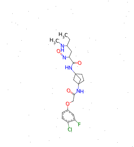 CCC(CC(N=O)C(=O)NC12CCC(NC(=O)COc3ccc(Cl)c(F)c3)(C1)C2)NC